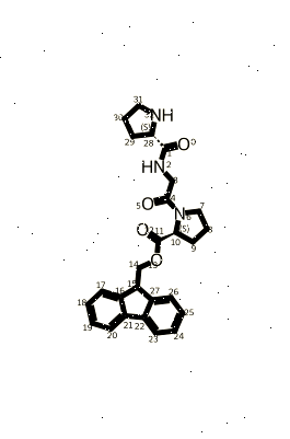 O=C(NCC(=O)N1CCC[C@H]1C(=O)OCC1c2ccccc2-c2ccccc21)[C@@H]1CCCN1